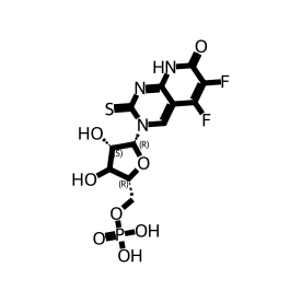 O=c1[nH]c2nc(=S)n([C@@H]3O[C@H](COP(=O)(O)O)C(O)[C@@H]3O)cc2c(F)c1F